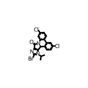 CC(C)n1c(Br)nc2c1C1c3ccc(Cl)cc3-c3ccc(Cl)cc3N1C2=O